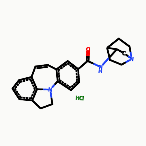 Cl.O=C(NC1CN2CCC1CC2)c1ccc2c(c1)C=Cc1cccc3c1N2CC3